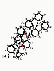 CC(C)(C)c1ccc2c(c1)C1(c3ccccc3Sc3ccc(N(c4ccc5c(c4)C4(c6ccccc6-c6ccccc64)c4ccccc4-5)c4ccccc4-c4ccccc4)cc31)c1cc(C(C)(C)C)ccc1-2